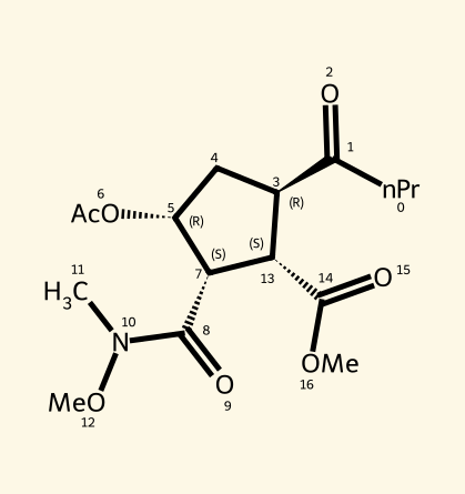 CCCC(=O)[C@@H]1C[C@@H](OC(C)=O)[C@@H](C(=O)N(C)OC)[C@H]1C(=O)OC